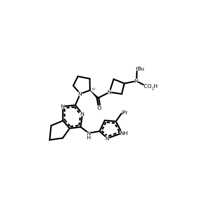 CC(C)c1cc(Nc2nc(N3CCC[C@H]3C(=O)N3CC(N(C(=O)O)C(C)(C)C)C3)nc3c2CCC3)n[nH]1